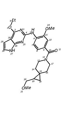 CCOc1nc(Nc2ccc(C(=O)N3CCC4(CC3)CC4COC)cc2OC)nc2[nH]ccc12